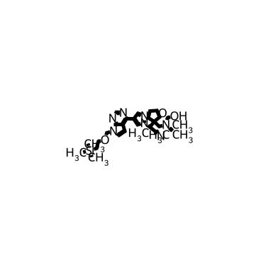 CC(C)(C)N(CC1(C(C)(C#N)n2cc(-c3ncnc4c3ccn4COCC[Si](C)(C)C)cn2)CCCC1)C(=O)O